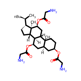 CCCC[C@@H](C)[C@H]1CC[C@H]2[C@@H]3[C@H](OC(=O)CN)C[C@@H]4C[C@H](OC(=O)CN)CC[C@]4(C)[C@H]3C[C@H](OC(=O)CN)[C@]12C